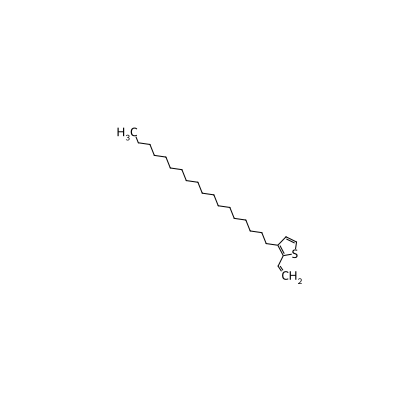 C=Cc1sccc1CCCCCCCCCCCCCCCCCC